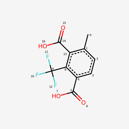 Cc1ccc(C(=O)O)c(C(F)(F)F)c1C(=O)O